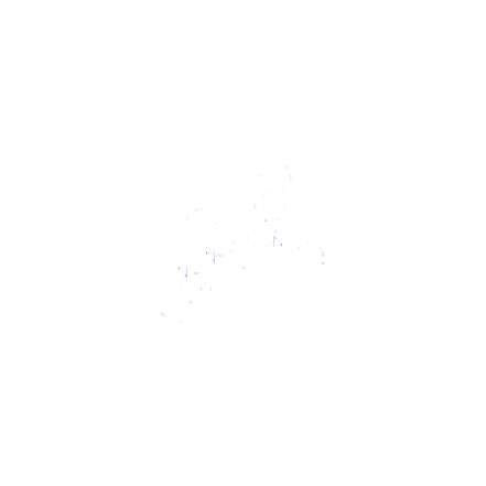 c1ccc(-n2c3cc4ccccc4cc3c3c4c5ccccc5n(-c5nc6ccccc6o5)c4ccc32)cc1